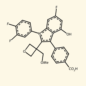 COCC1(c2c(-c3ccc(C(=O)O)cc3)c3c(O)cc(F)cc3n2-c2ccc(F)c(F)c2)COC1